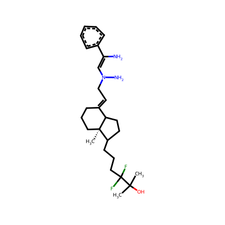 CC(C)(O)C(F)(F)CCCC1CCC2/C(=C/CN(N)/C=C(\N)c3ccccc3)CCC[C@]12C